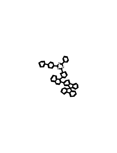 c1ccc(-c2ccc(-c3nc(-c4ccccc4)nc(-c4cccc(-c5c(-c6ccc7c(c6)C6(c8ccccc8-c8ccccc86)c6ccccc6-7)ccc6ccccc56)c4)n3)cc2)cc1